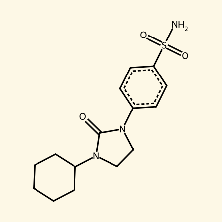 NS(=O)(=O)c1ccc(N2CCN(C3CCCCC3)C2=O)cc1